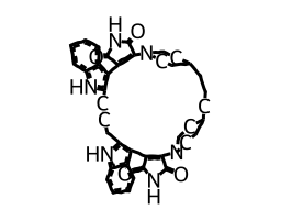 O=C1NC(=O)C2=C1c1c([nH]c3ccccc13)CCCc1[nH]c3ccccc3c1C1=C(C(=O)NC1=O)N1CCC(CCCC3CCN2CC3)CC1